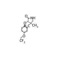 CC1(C)CNC(=O)C1Oc1ccc(OCC(F)(F)F)cc1